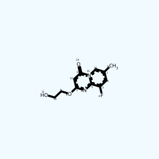 Cc1cc(F)c2nc(OCCO)cc(=O)n2c1